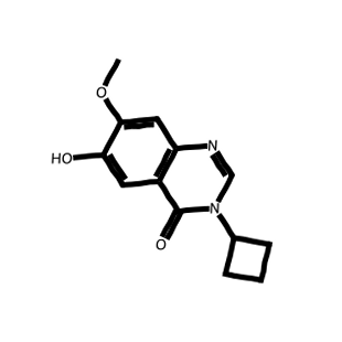 COc1cc2ncn(C3CCC3)c(=O)c2cc1O